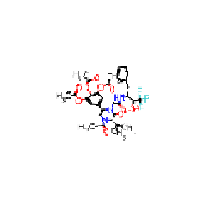 CC(=O)Oc1cc(C2=CN(C(C)=O)C(C(C)C)C(=O)N2CC(=O)NC(Cc2ccccc2)C(O)C(F)(F)F)cc(OC(C)=O)c1OC(C)=O